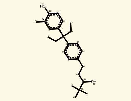 CCC(CC)(c1ccc(CCC(O)C(C)(C)C)cc1)c1ccc(O)c(C)c1